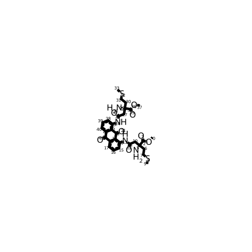 COC(=O)[C@](N)(CCSC)CC(=O)Nc1cccc2c1C(=O)c1c(NC(=O)C[C@@](N)(CCSC)C(=O)OC)cccc1C2=O